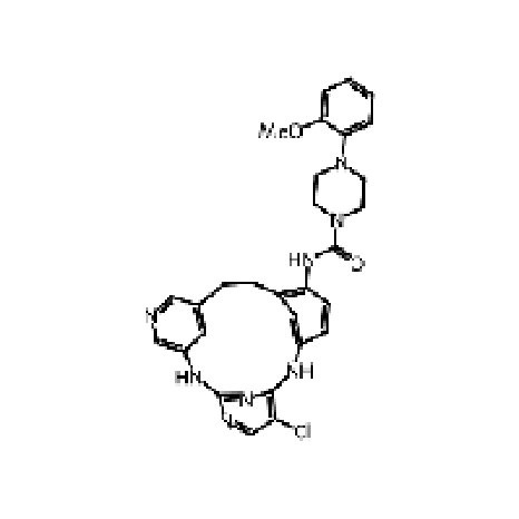 COc1ccccc1N1CCN(C(=O)Nc2ccc3cc2CCc2cncc(c2)Nc2ncc(Cl)c(n2)N3)CC1